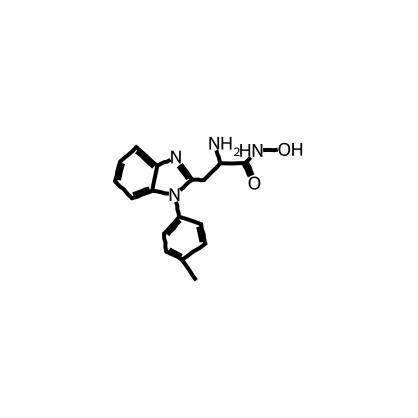 Cc1ccc(-n2c(CC(N)C(=O)NO)nc3ccccc32)cc1